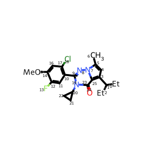 CCC(CC)c1cc(C)n2nc(-c3cc(F)c(OC)cc3Cl)n(C3CC3)c(=O)c12